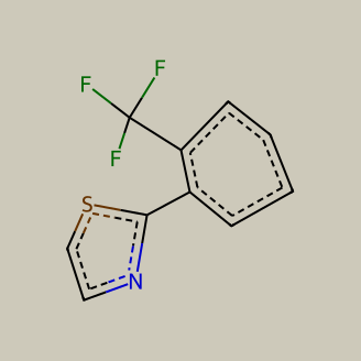 FC(F)(F)c1ccccc1-c1nccs1